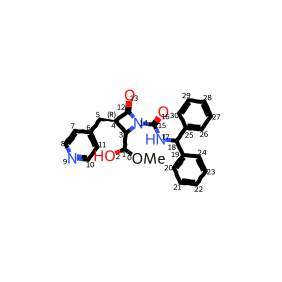 COC(O)C1[C@@H](Cc2ccncc2)C(=O)N1C(=O)NC(c1ccccc1)c1ccccc1